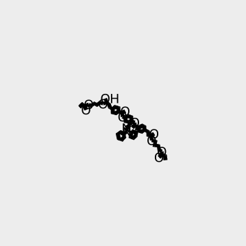 C=CC(=O)OCCCCOC(=O)/C=C/c1ccc(C(=O)Oc2ccc(OC(=O)c3ccc(/C=C/C(O)OCCCCOC(=O)C=C)cc3)cc2/C=N/N(c2ccccc2)c2ccccc2)cc1